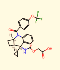 O=C(O)COC(=O)N[C@]1(C2CC2)c2ccccc2N(C(=O)c2ccc(OC(F)(F)F)cc2)[C@@H]2CC[C@@H]21